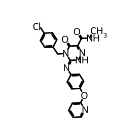 CNC(=O)c1n[nH]/c(=N\c2ccc(Oc3ccccn3)cc2)n(Cc2ccc(Cl)cc2)c1=O